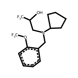 OC(CN(Cc1ccccc1OC(F)(F)F)C1CCCC1)C(F)(F)F